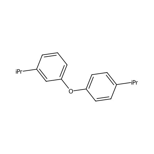 CC(C)c1ccc(Oc2cccc(C(C)C)c2)cc1